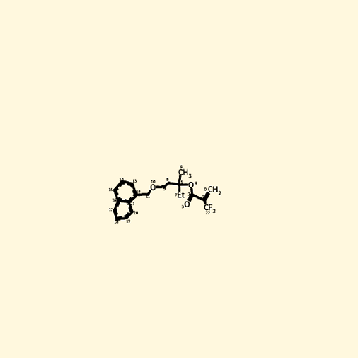 C=C(C(=O)OC(C)(CC)CCOCc1cccc2ccccc12)C(F)(F)F